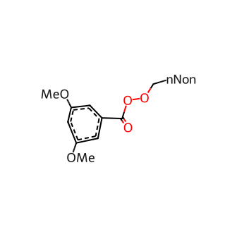 [CH2]CCCCCCCCCOOC(=O)c1cc(OC)cc(OC)c1